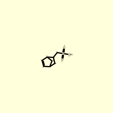 O=S(=O)(O)CC1CC2C=CC1C2